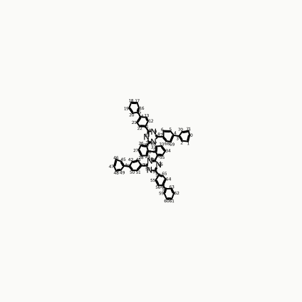 c1ccc(-c2ccc(-c3nc(-c4ccc(-c5ccccc5)cc4)nc(-c4ccccc4-c4ccccc4-c4nc(-c5ccc(-c6ccccc6)cc5)nc(-c5ccc(-c6ccccc6)cc5)n4)n3)cc2)cc1